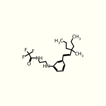 CCCC(C)(C=Cc1cccc(NCCNC(=O)C(F)(F)F)c1)CCC